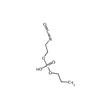 CCCOP(=O)(O)OCCN=C=O